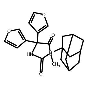 C[N+]1(C23CC4CC(CC(C4)C2)C3)C(=O)NC(c2ccoc2)(c2ccoc2)C1=O